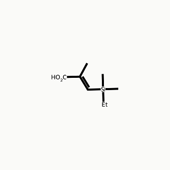 CC[Si](C)(C)C=C(C)C(=O)O